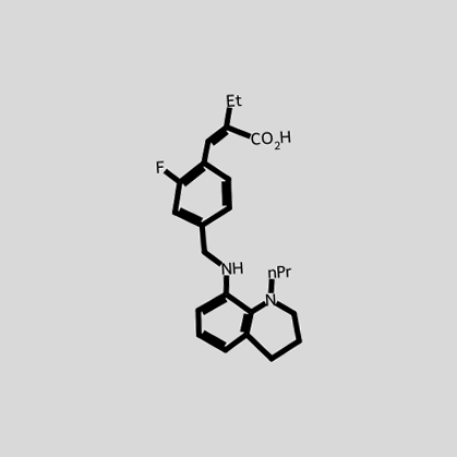 CCCN1CCCc2cccc(NCc3ccc(C=C(CC)C(=O)O)c(F)c3)c21